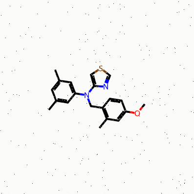 COc1ccc(CN(c2cc(C)cc(C)c2)c2cscn2)c(C)c1